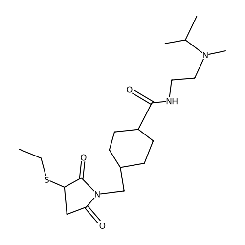 CCSC1CC(=O)N(CC2CCC(C(=O)NCCN(C)C(C)C)CC2)C1=O